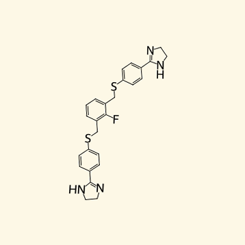 Fc1c(CSc2ccc(C3=NCCN3)cc2)cccc1CSc1ccc(C2=NCCN2)cc1